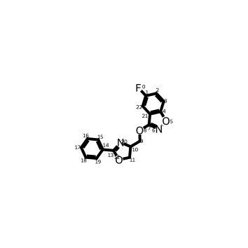 Fc1ccc2onc(OCC3COC(c4ccccc4)=N3)c2c1